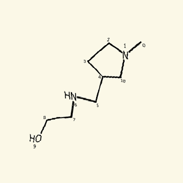 CN1CCC(CNCCO)C1